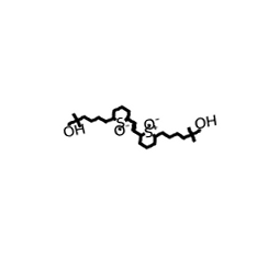 CC(C)(CO)CCCCC1CCCC(C=CC2CCCC(CCCCC(C)(C)CO)[S+]2[O-])[S+]1[O-]